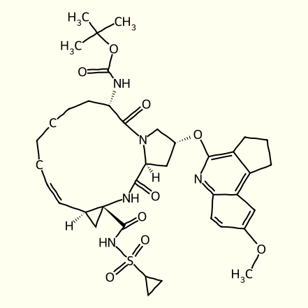 COc1ccc2nc(O[C@@H]3C[C@H]4C(=O)N[C@]5(C(=O)NS(=O)(=O)C6CC6)C[C@H]5/C=C\CCCCC[C@H](NC(=O)OC(C)(C)C)C(=O)N4C3)c3c(c2c1)CCC3